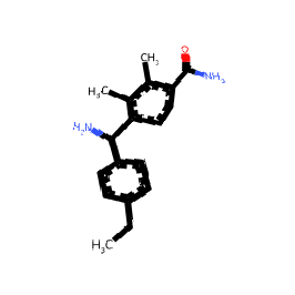 CCc1ccc(C(N)c2ccc(C(N)=O)c(C)c2C)cc1